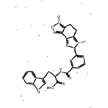 COC(=O)C(Cc1c[nH]c2ccccc12)NC(=O)c1cccc(-n2nc3c([n+]2[O-])CCc2c-3no[n+]2[O-])c1